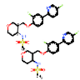 CS(=O)(=O)NC1CCOCC1COc1ccc(-c2ccc(F)cn2)cc1F.CS(=O)(=O)N[C@@H]1CCOC[C@H]1COc1ccc(-c2ccc(F)cn2)cc1F